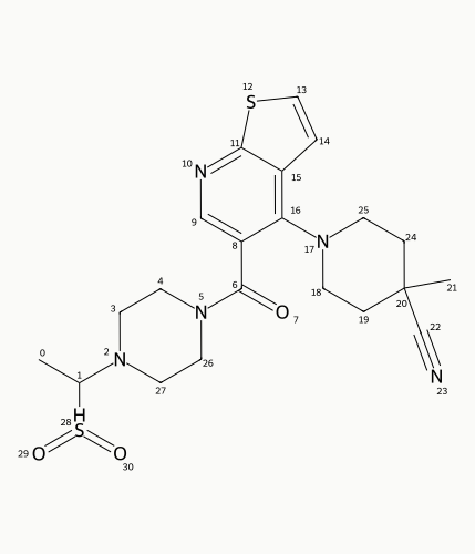 CC(N1CCN(C(=O)c2cnc3sccc3c2N2CCC(C)(C#N)CC2)CC1)[SH](=O)=O